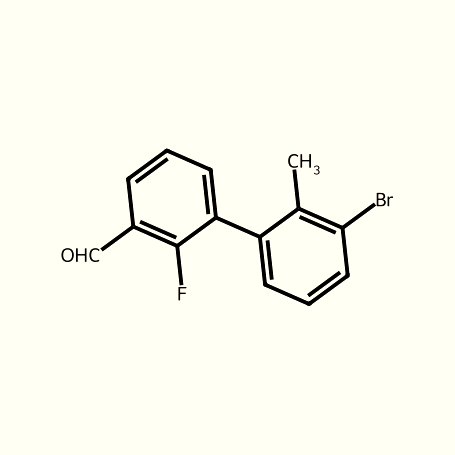 Cc1c(Br)cccc1-c1cccc(C=O)c1F